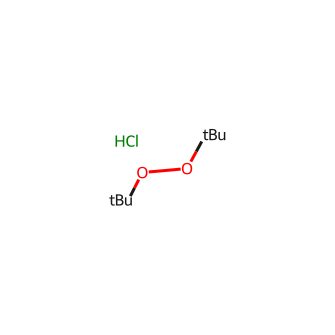 CC(C)(C)OOC(C)(C)C.Cl